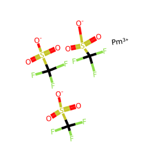 O=S(=O)([O-])C(F)(F)F.O=S(=O)([O-])C(F)(F)F.O=S(=O)([O-])C(F)(F)F.[Pm+3]